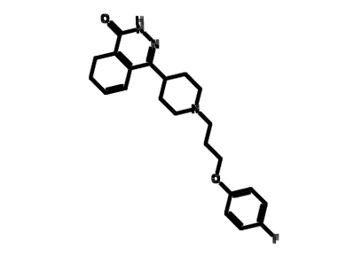 O=c1[nH]nc(C2CCN(CCCOc3ccc(F)cc3)CC2)c2c1CCC=C2